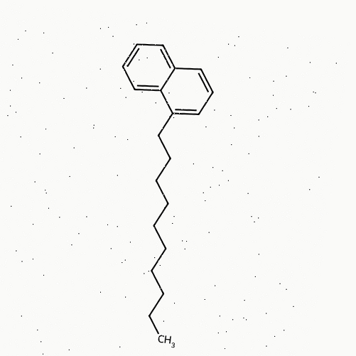 CCCCCCCCCCc1cccc2c[c]ccc12